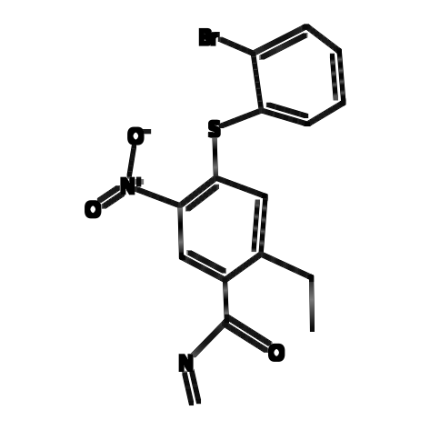 C=NC(=O)c1cc([N+](=O)[O-])c(Sc2ccccc2Br)cc1CC